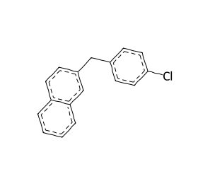 Clc1ccc(Cc2ccc3ccccc3c2)cc1